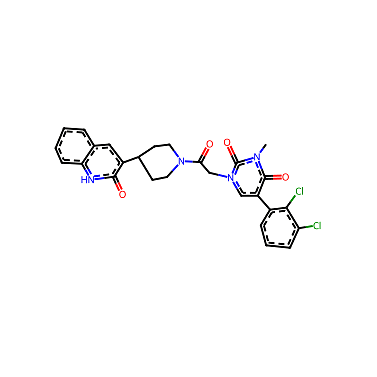 Cn1c(=O)c(-c2cccc(Cl)c2Cl)cn(CC(=O)N2CCC(c3cc4ccccc4[nH]c3=O)CC2)c1=O